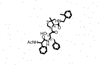 CC(=O)NC(C(=O)N[C@@H](Cc1ccccc1)[C@H](O)C(=O)N1CSC(C)(C)[C@H]1C(=O)NCc1ccccc1C)c1ccccc1